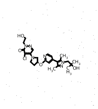 Cc1nn(CC(C)(C)O)c(C)c1-c1ccnc(O[C@@H]2CCN(c3cnn(CCO)c(=O)c3Cl)C2)c1